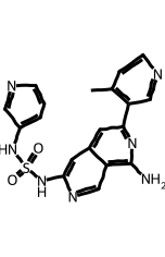 Cc1ccncc1-c1cc2cc(NS(=O)(=O)Nc3cccnc3)ncc2c(N)n1